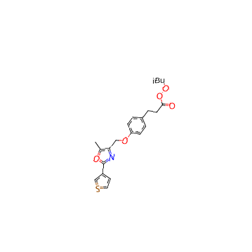 CCC(C)OOC(=O)CCc1ccc(OCc2nc(-c3ccsc3)oc2C)cc1